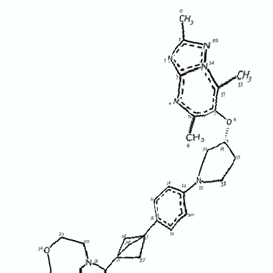 Cc1nc2nc(C)c(O[C@@H]3CCN(c4ccc(C56CC(CN7CCOCC7)(C5)C6)cc4)C3)c(C)n2n1